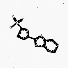 O=S(=O)(Cl)c1ccc(-c2cc3ccccc3s2)s1